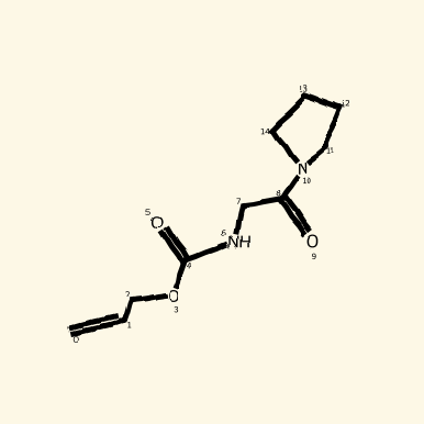 C=CCOC(=O)NCC(=O)N1CCCC1